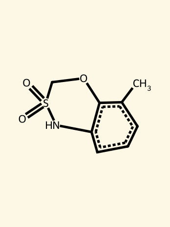 Cc1cccc2c1OCS(=O)(=O)N2